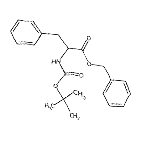 CC(C)(C)OC(=O)NC(Cc1ccccc1)C(=O)OCc1ccccc1